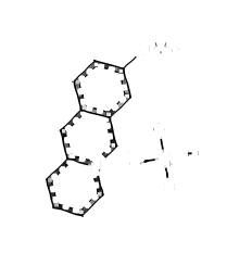 COc1ccc2cc3cccc[n+]3cc2c1.[O-][Cl+3]([O-])([O-])[O-]